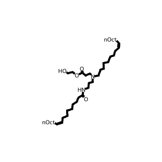 CCCCCCCC/C=C\CCCCCCCCN(CCCNC(=O)CCCCCCC/C=C\CCCCCCCC)CCC(=O)OCCO